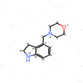 c1cc(CN2CCOCC2)c2c(c1)NCC2